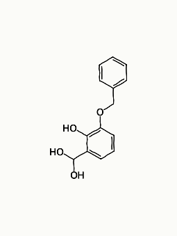 Oc1c(OCc2ccccc2)cccc1C(O)O